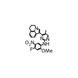 COc1cc(F)c([N+](=O)[O-])cc1Nc1ncc(C)c(-c2cn3c4c(cccc24)CCC3)n1